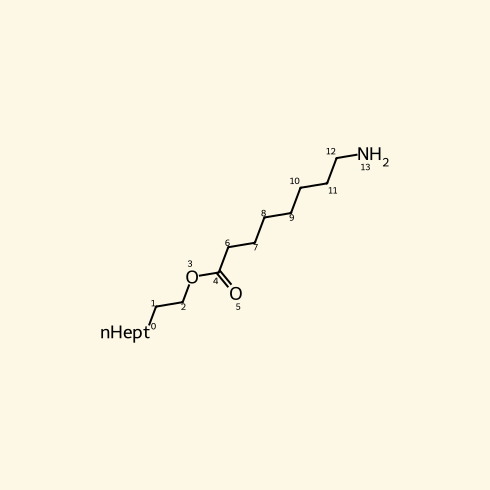 CCCCCCCCCOC(=O)CCCCCCCN